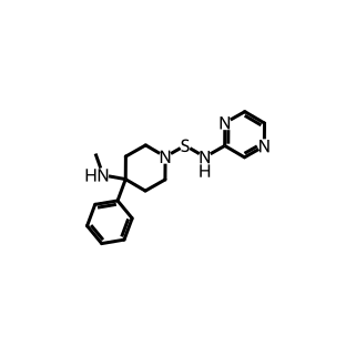 CNC1(c2ccccc2)CCN(SNc2cnccn2)CC1